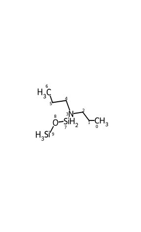 CCCN(CCC)[SiH2]O[SiH3]